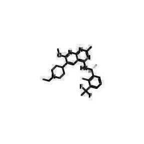 CCN1CCC(c2cc3c(N[C@H](C)c4cccc(C(C)(F)F)c4C)nc(C)nc3nc2OC)CC1